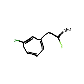 CCCC[C](F)Cc1cccc(Cl)c1